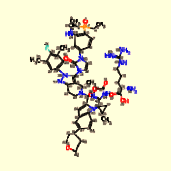 CCP(=O)(CC)c1ccc(-n2ccn(-c3c4c(nn3-c3cc(C)c(F)c(C)c3)CCN(C(=O)c3cc5cc(C6CCOCC6)ccc5n3[C@@]3(c5noc(=O)[nH]5)C[C@@H]3C)[C@H]4C)c2=O)cc1NC.N=C(N)NCCC[C@H](N)C(=O)O